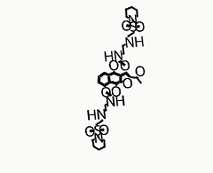 CC(=O)c1cc2c(OC(=O)NCCNCCS(=O)(=O)N3CCCCC3)c3ccccc3c(OC(=O)NCCNCCS(=O)(=O)N3CCCCC3)c2o1